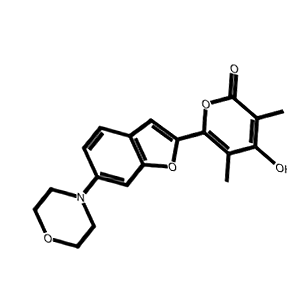 Cc1c(-c2cc3ccc(N4CCOCC4)cc3o2)oc(=O)c(C)c1O